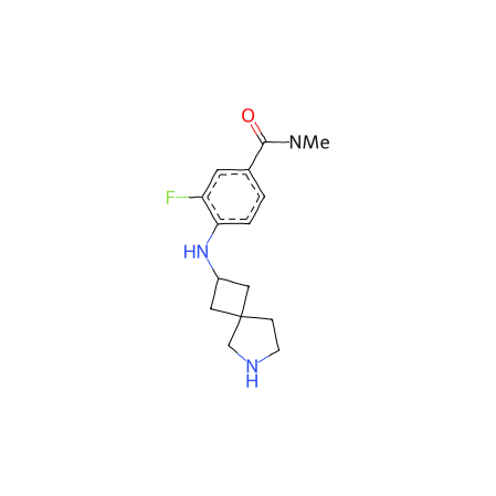 CNC(=O)c1ccc(NC2CC3(CCNC3)C2)c(F)c1